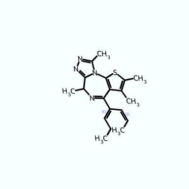 C/C=C\C(=C/CC)C1=NC(C)c2nnc(C)n2-c2sc(C)c(C)c21